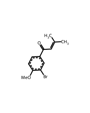 COc1ccc(C(=O)C=C(C)C)cc1Br